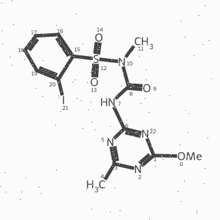 COc1nc(C)nc(NC(=O)N(C)S(=O)(=O)c2ccccc2I)n1